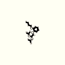 CCCCOc1ccccc1OCC(OC(C)C)OC(C)C